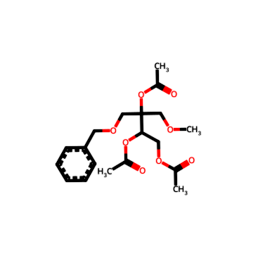 COCC(COCc1ccccc1)(OC(C)=O)C(COC(C)=O)OC(C)=O